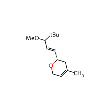 COC(/C=C/[C@@H]1CC(C)=CCO1)C(C)(C)C